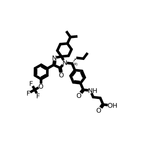 CCC[C@H](c1ccc(C(=O)NCCC(=O)O)cc1)N1C(=O)C(c2cccc(OC(F)(F)F)c2)=NC12CCC(C(C)C)CC2